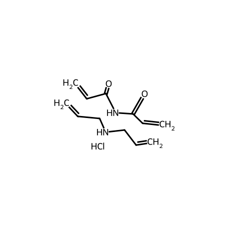 C=CC(=O)NC(=O)C=C.C=CCNCC=C.Cl